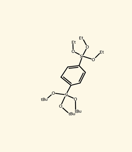 CCO[Si](OCC)(OCC)c1ccc([Si](OC(C)(C)C)(OC(C)(C)C)OC(C)(C)C)cc1